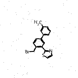 Cc1cccc(-c2ccc(CBr)c(-c3nccs3)c2)c1